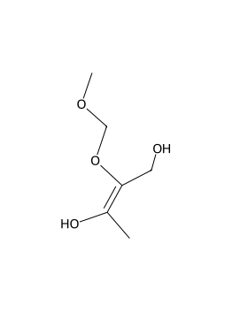 COCO/C(CO)=C(/C)O